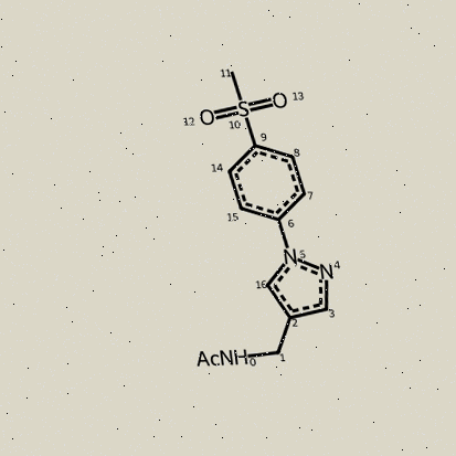 CC(=O)NCc1cnn(-c2ccc(S(C)(=O)=O)cc2)c1